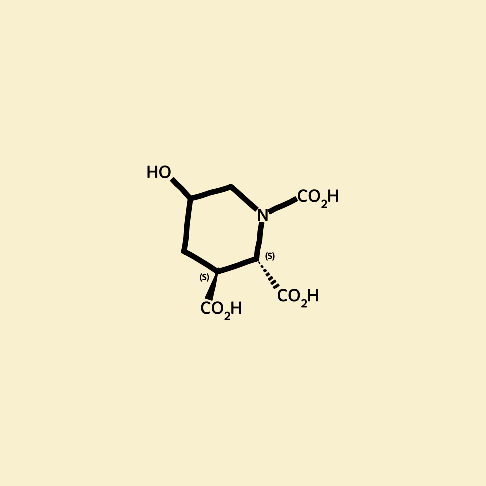 O=C(O)[C@H]1CC(O)CN(C(=O)O)[C@@H]1C(=O)O